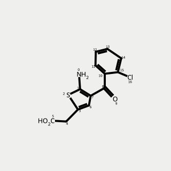 Nc1sc(CC(=O)O)cc1C(=O)c1ccccc1Cl